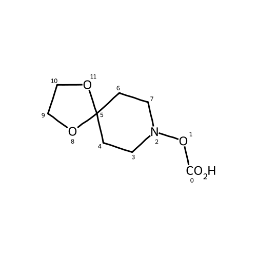 O=C(O)ON1CCC2(CC1)OCCO2